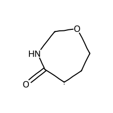 O=C1[CH]CCOCN1